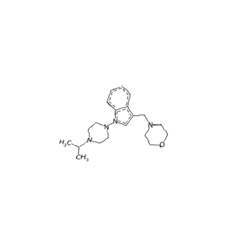 CC(C)N1CCN(n2cc(CN3CCOCC3)c3c[c]ccc32)CC1